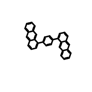 c1ccc2cc3c(-c4ccc(-c5cccc6cc7ccccc7cc56)cc4)cccc3cc2c1